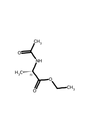 CCOC(=O)[C@H](C)NC(C)=O